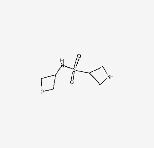 O=S(=O)(NC1COC1)C1CNC1